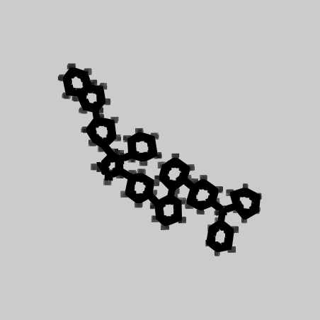 c1ccc(N(c2ccccc2)c2ccc(-c3ccccc3-c3ccccc3-c3ccc(-c4nnc(-c5ccc(-c6ccc7ccccc7c6)cc5)n4-c4ccccc4)cc3)cc2)cc1